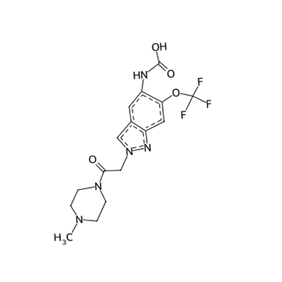 CN1CCN(C(=O)Cn2cc3cc(NC(=O)O)c(OC(F)(F)F)cc3n2)CC1